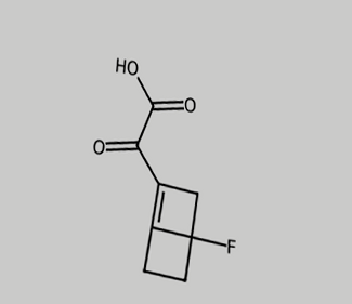 O=C(O)C(=O)C1=C2CCC2(F)C1